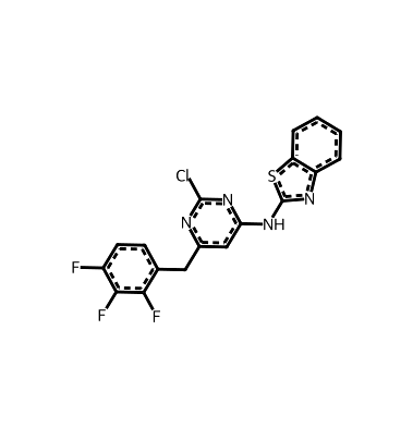 Fc1ccc(Cc2cc(Nc3nc4ccccc4s3)nc(Cl)n2)c(F)c1F